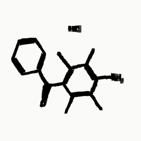 Cc1c(C)c(C(=O)c2ccccc2)c(C)c(C)c1N.Cl